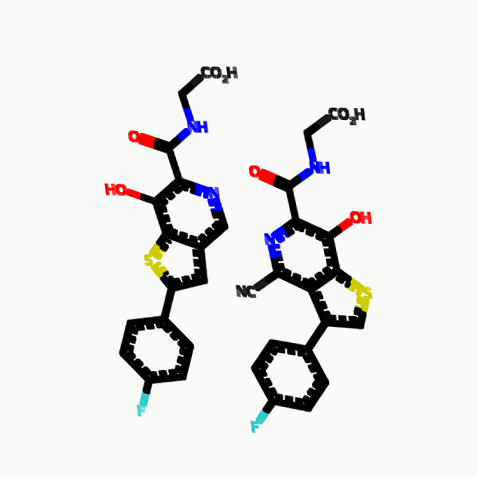 N#Cc1nc(C(=O)NCC(=O)O)c(O)c2scc(-c3ccc(F)cc3)c12.O=C(O)CNC(=O)c1ncc2cc(-c3ccc(F)cc3)sc2c1O